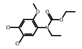 CCOC(=O)N(CC)c1cc(Cl)c(Cl)cc1OC